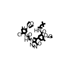 COCOc1c(C)cc(-c2cn(CC(=O)Nc3cc(N4CCOCC4)ncc3Cl)c3ncn(C)c(=O)c23)cc1C(=O)NC(C)(C)CC(C)(C)C